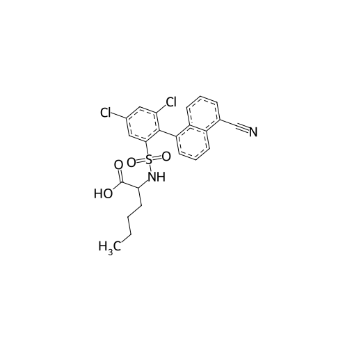 CCCCC(NS(=O)(=O)c1cc(Cl)cc(Cl)c1-c1cccc2c(C#N)cccc12)C(=O)O